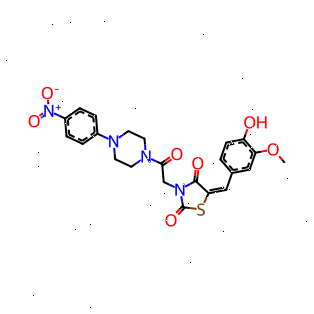 COc1cc(C=C2SC(=O)N(CC(=O)N3CCN(c4ccc([N+](=O)[O-])cc4)CC3)C2=O)ccc1O